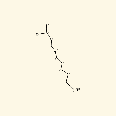 CCCCCCCCCCCCOCOC(C)Cl